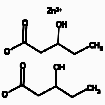 CCC(O)CC(=O)[O-].CCC(O)CC(=O)[O-].[Zn+2]